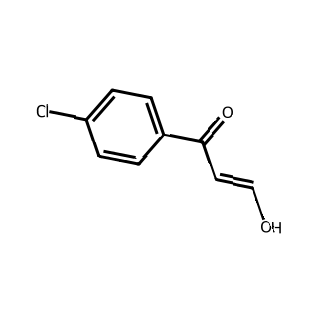 O=C(C=CO)c1ccc(Cl)cc1